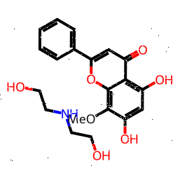 COc1c(O)cc(O)c2c(=O)cc(-c3ccccc3)oc12.OCCNCCO